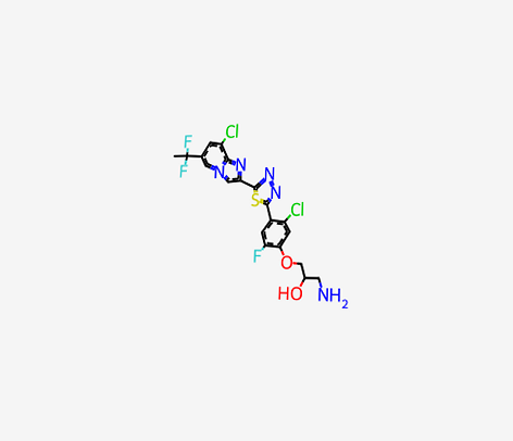 CC(F)(F)c1cc(Cl)c2nc(-c3nnc(-c4cc(F)c(OCC(O)CN)cc4Cl)s3)cn2c1